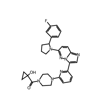 O=C(N1CCN(c2cccc(-c3cnc4ccc(N5CCCC5c5cccc(F)c5)nn34)n2)CC1)C1(O)CC1